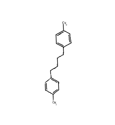 Cc1ccc(CCCCc2ccc(C)cc2)cc1